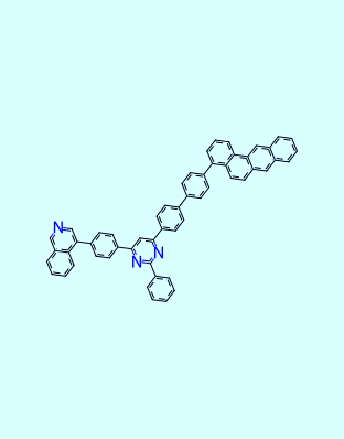 c1ccc(-c2nc(-c3ccc(-c4ccc(-c5cccc6c5ccc5cc7ccccc7cc56)cc4)cc3)cc(-c3ccc(-c4cncc5ccccc45)cc3)n2)cc1